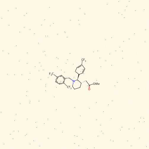 COC(=O)C[C@@H]1CCCN(Cc2cc(C(F)(F)F)ccc2C(F)(F)F)[C@H]1C1C=CC(C(F)(F)F)=CC1